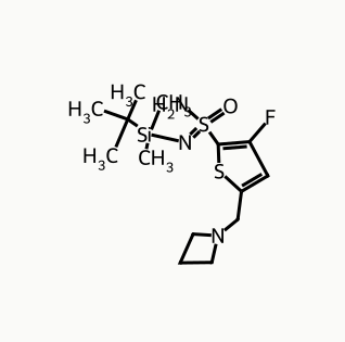 CC(C)(C)[Si](C)(C)N=S(N)(=O)c1sc(CN2CCC2)cc1F